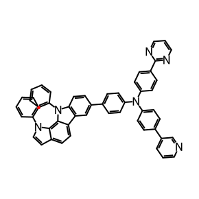 c1ccc(-n2ccc3ccc4c5cc(-c6ccc(N(c7ccc(-c8cccnc8)cc7)c7ccc(-c8ncccn8)cc7)cc6)ccc5n(-c5ccccc5)c4c32)cc1